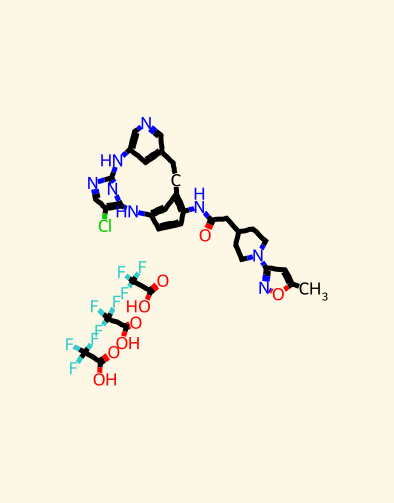 Cc1cc(N2CCC(CC(=O)Nc3ccc4cc3CCc3cncc(c3)Nc3ncc(Cl)c(n3)N4)CC2)no1.O=C(O)C(F)(F)F.O=C(O)C(F)(F)F.O=C(O)C(F)(F)F